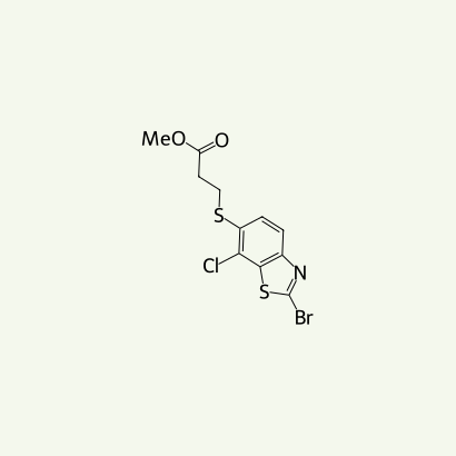 COC(=O)CCSc1ccc2nc(Br)sc2c1Cl